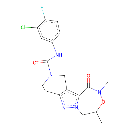 CC1Cn2nc3c(c2C(=O)N(C)O1)CN(C(=O)Nc1ccc(F)c(Cl)c1)CC3